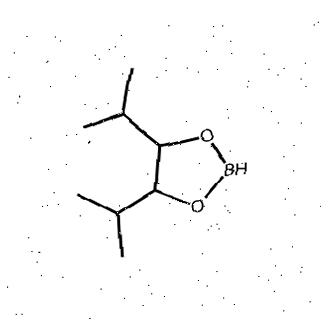 CC(C)C1OBOC1C(C)C